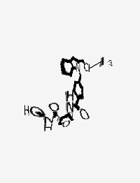 CCc1cc2ccccc2n1Cc1ccc(C(=O)N[C@@H]2COC[C@@H]2C(=O)NO)cc1